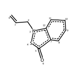 C=CCn1sc(=O)c2ccccc21